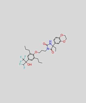 CCCc1cc(C(O)(C(F)F)C(F)(F)F)cc(CCC)c1OCCCN1C(=O)NC(CC)(c2ccc3c(c2)OCCO3)C1=O